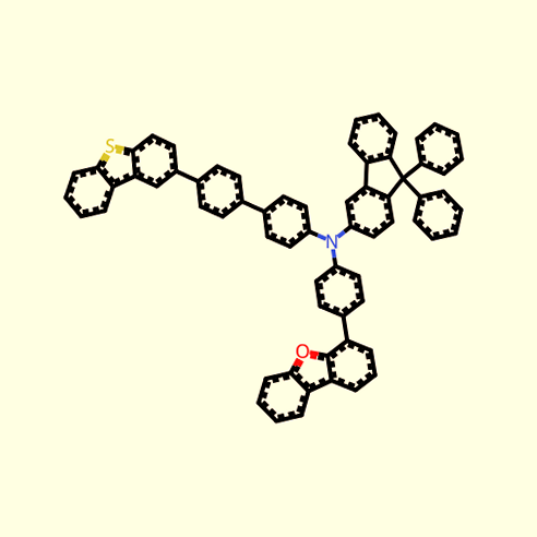 c1ccc(C2(c3ccccc3)c3ccccc3-c3cc(N(c4ccc(-c5ccc(-c6ccc7sc8ccccc8c7c6)cc5)cc4)c4ccc(-c5cccc6c5oc5ccccc56)cc4)ccc32)cc1